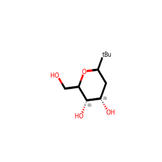 CC(C)(C)C1C[C@H](O)[C@H](O)C(CO)O1